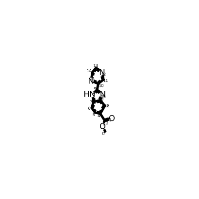 COC(=O)c1ccc2[nH]c(-c3cnccn3)nc2c1